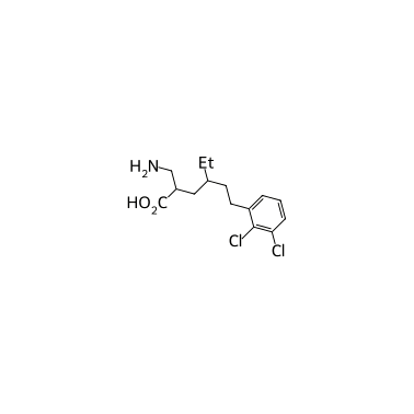 CCC(CCc1cccc(Cl)c1Cl)CC(CN)C(=O)O